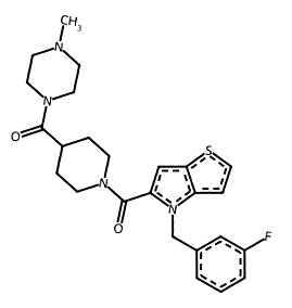 CN1CCN(C(=O)C2CCN(C(=O)c3cc4sccc4n3Cc3cccc(F)c3)CC2)CC1